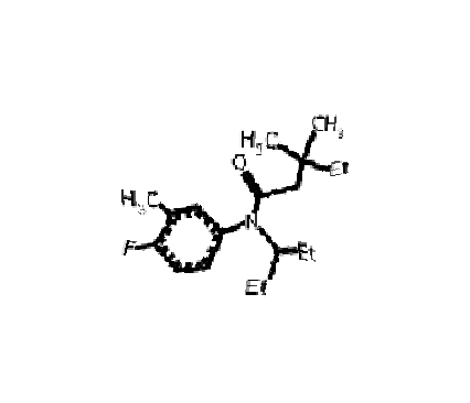 CCC(CC)N(C(=O)CC(C)(C)CC)c1ccc(F)c(C)c1